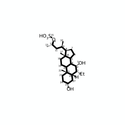 CC[C@H]1[C@@H](O)C2C3CC[C@H]([C@H](C)C[C@H](C)OS(=O)(=O)O)[C@@]3(C)CCC2[C@@]2(C)CC[C@@H](O)C[C@@H]12